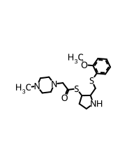 COc1ccccc1SCC1NCCC1SC(=O)CN1CCN(C)CC1